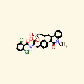 CCCCc1c(-c2ccc(C[C@H](NC(=O)c3c(Cl)cccc3Cl)C(=O)O)cc2)c(=O)n(C)c2ccccc12